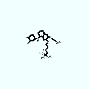 COCCOc1cc2ncnc(Nc3ccc(F)c(Cl)c3)c2cc1OCCNCC(C)(C)O